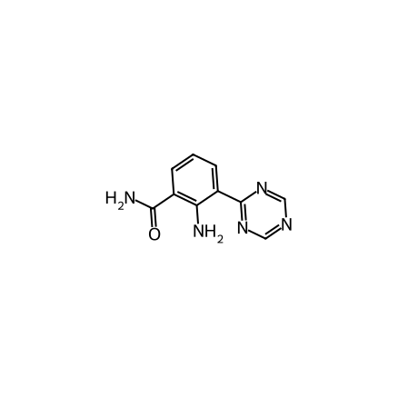 NC(=O)c1cccc(-c2ncncn2)c1N